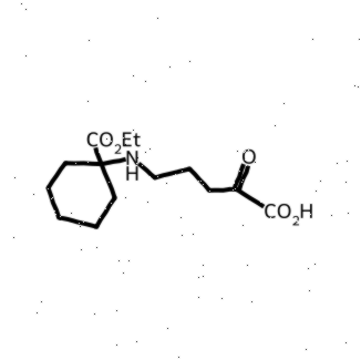 CCOC(=O)C1(NCCCC(=O)C(=O)O)CCCCC1